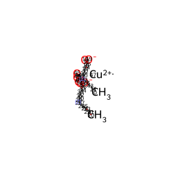 CCCCCCCC/C=C\CCCCCCCC(=O)[O-].CCCCCCCC/C=C\CCCCCCCC(=O)[O-].O=C1CCC(=O)O1.[Cu+2]